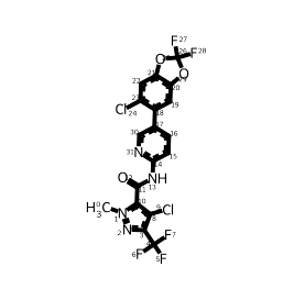 Cn1nc(C(F)(F)F)c(Cl)c1C(=O)Nc1ccc(-c2cc3c(cc2Cl)OC(F)(F)O3)cn1